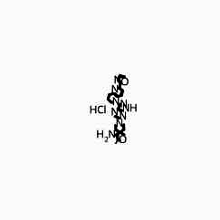 C[C@@H]1OCC2(CCN(c3cnc4c(N5CCCc6nc(-c7ncco7)ccc65)n[nH]c4n3)CC2)[C@@H]1N.Cl